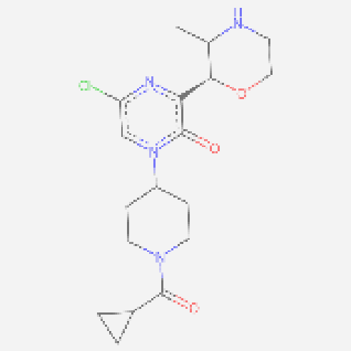 CC1NCCO[C@H]1c1nc(Cl)cn(C2CCN(C(=O)C3CC3)CC2)c1=O